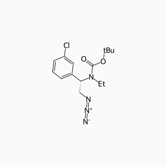 CCN(C(=O)OC(C)(C)C)[C@H](CN=[N+]=[N-])c1cccc(Cl)c1